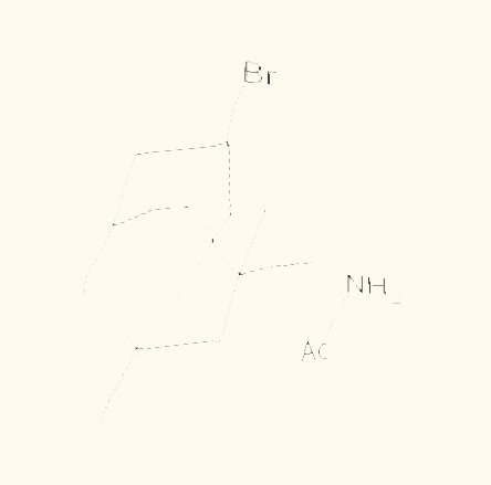 CC(N)=O.CC12CC3CC(C)(C1)CC(Br)(C3)C2